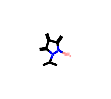 BN1C(=C)C(=C)C(=C)N1C(C)C